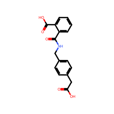 O=C(O)Cc1ccc(CNC(=O)c2ccccc2C(=O)O)cc1